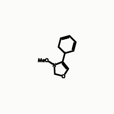 CON1COC=C1[C]1C=CC=CC1